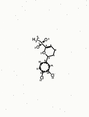 CS(=O)(=O)C1=CCCC(c2ccc(Cl)c(Cl)c2)O1